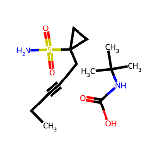 CC(C)(C)NC(=O)O.CCC#CCC1(S(N)(=O)=O)CC1